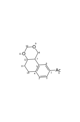 CC(=O)c1ccc2c(c1)C1COCOC1CC2